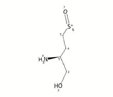 N[C@H](CO)CC[S+]=O